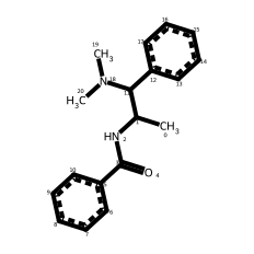 CC(NC(=O)c1ccccc1)C(c1ccccc1)N(C)C